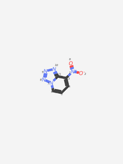 O=[N+]([O-])c1cccn2nnnc12